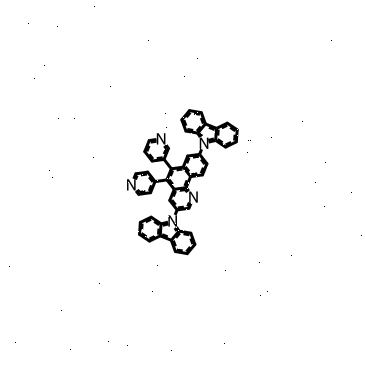 c1cncc(-c2c(-c3ccncc3)c3cc(-n4c5ccccc5c5ccccc54)cnc3c3ccc(-n4c5ccccc5c5ccccc54)cc23)c1